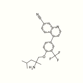 CC(C)CC(C)(N)COc1ccc(-c2ccnc3cc(C#N)ccc23)cc1C(F)(F)F